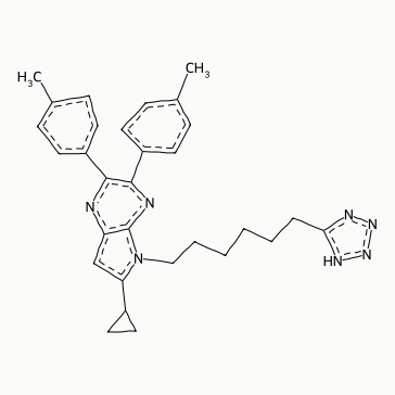 Cc1ccc(-c2nc3cc(C4CC4)n(CCCCCCc4nnn[nH]4)c3nc2-c2ccc(C)cc2)cc1